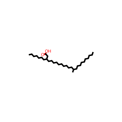 CCCCCCCCCCC(C)CCCCCCCCCCC(CCCCCCC)CC(=O)O